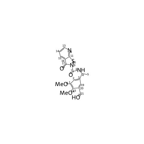 COc1cc(C(C)NC(=O)n2sc3ncccc3c2=O)cc(CO)c1OC